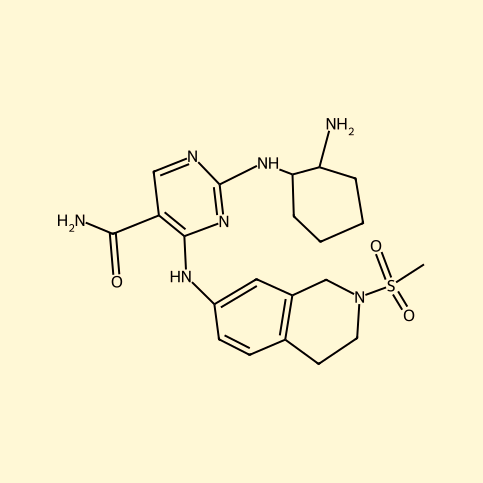 CS(=O)(=O)N1CCc2ccc(Nc3nc(NC4CCCCC4N)ncc3C(N)=O)cc2C1